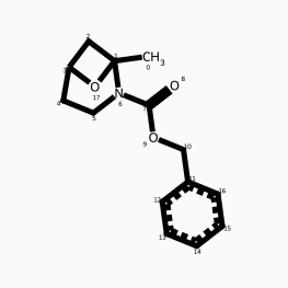 CC12CC(CCN1C(=O)OCc1ccccc1)O2